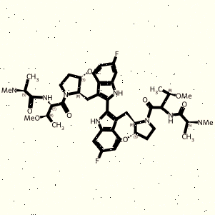 CN[C@@H](C)C(=O)NC(C(=O)N1CC[C@H](OC(C)=O)[C@H]1Cc1c(-c2[nH]c3cc(F)ccc3c2C[C@@H]2[C@@H](OC(C)=O)CCN2C(=O)[C@@H](NC(=O)[C@H](C)NC)[C@@H](C)OC)[nH]c2cc(F)ccc12)[C@@H](C)OC